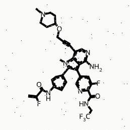 C=C(F)C(=O)Nc1ccc(-c2c(-c3cnc(C(=O)NCC(F)(F)F)c(F)c3)c3c(N)ncc(C#CCOC4CCN(C)CC4)c3n2C)cc1